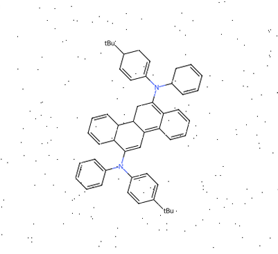 CC(C)(C)c1ccc(N(C2=CC3=c4ccccc4=C(N(C4=CCC(C(C)(C)C)C=C4)C4C=CC=CC4)CC3C3C=CC=CC23)c2ccccc2)cc1